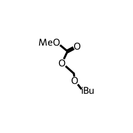 CCC(C)OCOC(=O)OC